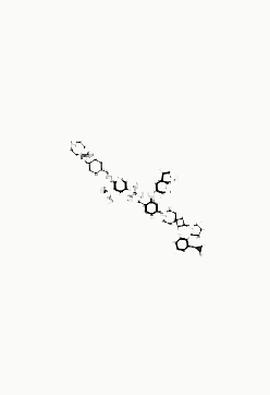 O=C(NS(=O)(=O)c1cnc(NCC2CCC(N=S3(=O)CCNCC3)CC2)c([N+](=O)[O-])c1)c1ccc(N2CCC3(CC2)CC(N2CCC[C@@H]2c2ccccc2C2CC2)C3)cc1Oc1cnc2[nH]ccc2c1